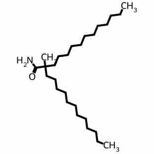 CCCCCCCCCCCCC(C)(CCCCCCCCCCCC)C(N)=O